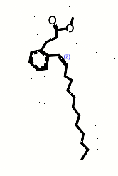 CCCCCCCCCCC/C=C\c1ccccc1CCC(=O)OC